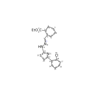 CCOC(=O)c1ccccc1/C=N/Nc1nc(-c2ccccc2Cl)cs1